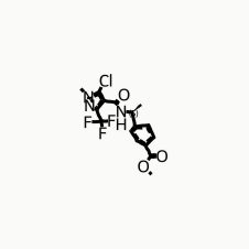 COC(=O)c1ccc([C@H](C)NC(=O)c2c(C(F)(F)F)nn(C)c2Cl)cc1